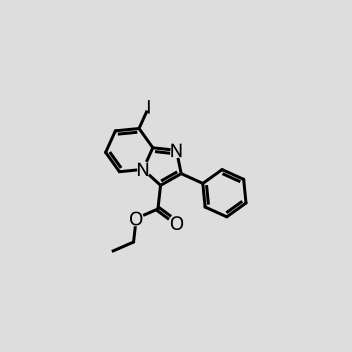 CCOC(=O)c1c(-c2ccccc2)nc2c(I)cccn12